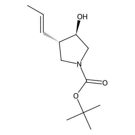 CC=C[C@H]1CN(C(=O)OC(C)(C)C)C[C@@H]1O